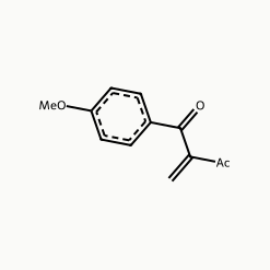 C=C(C(C)=O)C(=O)c1ccc(OC)cc1